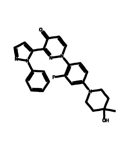 CC1(O)CCN(c2ccc(-n3ccc(=O)c(-c4ccnn4-c4ccccc4)n3)c(F)c2)CC1